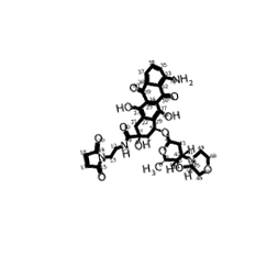 C[C@@H]1OC(O[C@H]2C[C@](O)(C(=O)NCCN3C(=O)C=CC3=O)Cc3c(O)c4c(c(O)c32)C(=O)c2c(N)cccc2C4=O)C[C@H]2[C@@H]1O[C@@H]1COCCN12